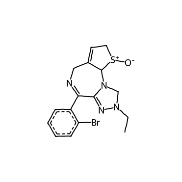 CCN1CN2C(=N1)C(c1ccccc1Br)=NCC1=CC[S+]([O-])C12